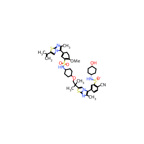 C=C(C)c1cn2c(C3=CC(S(=O)(=O)NC4CCC(OCC(C)(C)c5cn6c(-c7ccc(C#N)c([S+]([O-])N[C@H]8CC[C@@H](O)CC8)c7)c(C)nc6s5)CC4)=C(OC)CC3)c(C)nc2s1